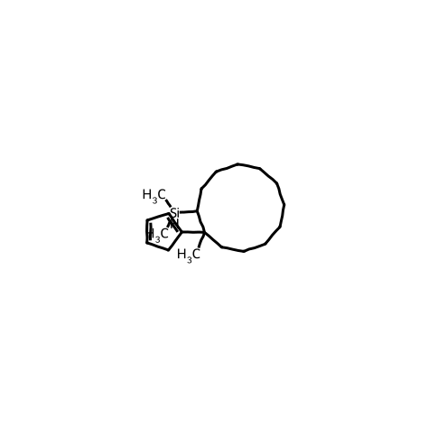 C[SiH](C)C1CCCCCCCCCCC1(C)C1=CC=CC1